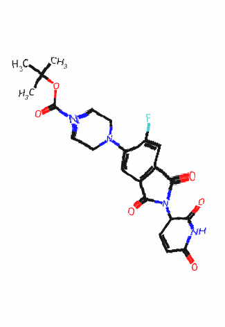 CC(C)(C)OC(=O)N1CCN(c2cc3c(cc2F)C(=O)N(C2C=CC(=O)NC2=O)C3=O)CC1